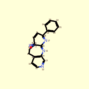 C1=CC23NC=NC=C2Cc2ccncc2N=C3N=C1c1ccccc1